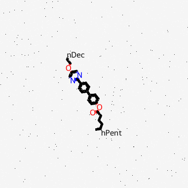 CCCCCCCCCCCCOc1cnc(-c2ccc(-c3ccc(OC(=O)CCC[C@@H](C)CCCCC)cc3)cc2)nc1